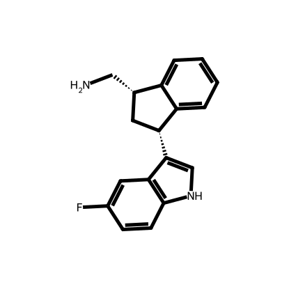 NC[C@H]1C[C@@H](c2c[nH]c3ccc(F)cc23)c2ccccc21